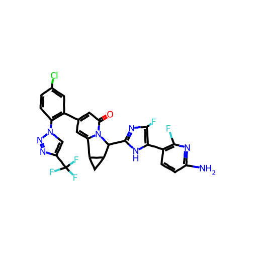 Nc1ccc(-c2[nH]c(C3C4CC4c4cc(-c5cc(Cl)ccc5-n5cc(C(F)(F)F)nn5)cc(=O)n43)nc2F)c(F)n1